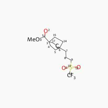 COC(=O)C12CCC(CCCS(=O)(=O)C(F)(F)F)(CC1)CC2